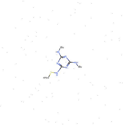 CCCCCCSNc1nc(NC(C)(C)C)nc(NC(C)(C)C)n1